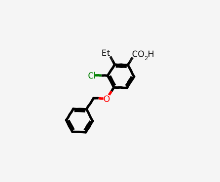 CCc1c(C(=O)O)ccc(OCc2ccccc2)c1Cl